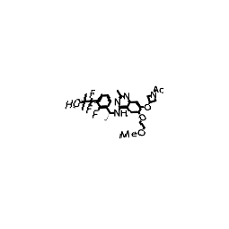 COCCOc1cc2c(N[C@H](C)c3cccc(C(F)(F)C(C)(C)O)c3F)nc(C)nc2cc1OC1CN(C(C)=O)C1